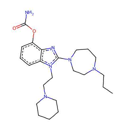 CCCN1CCCN(c2nc3c(OC(N)=O)cccc3n2CCN2CCCCC2)CC1